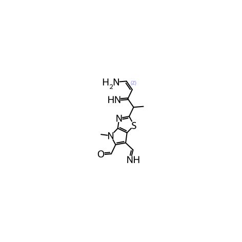 CC(C(=N)/C=C\N)c1nc2c(s1)c(C=N)c(C=O)n2C